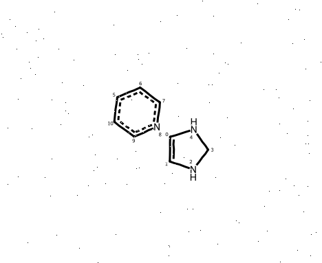 C1=CNCN1.c1ccncc1